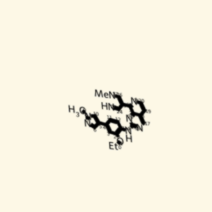 CCOc1cc(-c2cnn(C)c2)ccc1Nc1ncc2ccnc(/C(C=N)=C/NC)c2n1